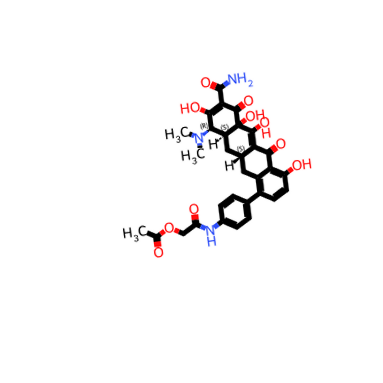 CC(=O)OCC(=O)Nc1ccc(-c2ccc(O)c3c2C[C@@H]2C[C@H]4[C@@H](N(C)C)C(O)=C(C(N)=O)C(=O)C4(O)C(O)=C2C3=O)cc1